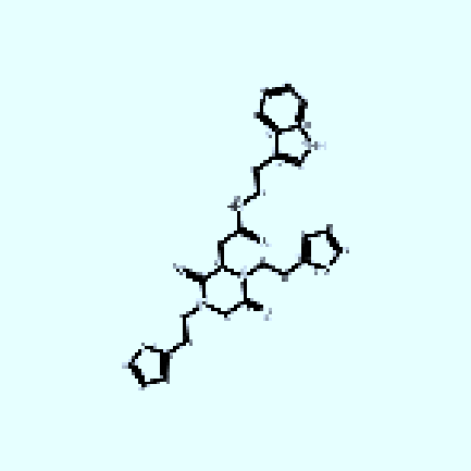 O=C(CC1C(=O)N(CCc2cccs2)CC(=O)N1CCc1cccs1)NCCc1c[nH]c2ccccc12